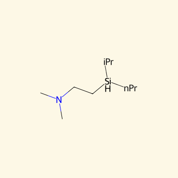 CCC[SiH](CCN(C)C)C(C)C